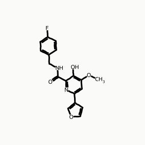 COc1cc(-c2ccoc2)nc(C(=O)NCc2ccc(F)cc2)c1O